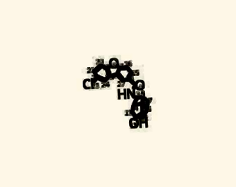 O=C(NC1C2CC3CC1CC(O)(C3)C2)c1ccc2oc3ccc(Cl)cc3c2c1